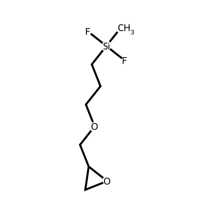 C[Si](F)(F)CCCOCC1CO1